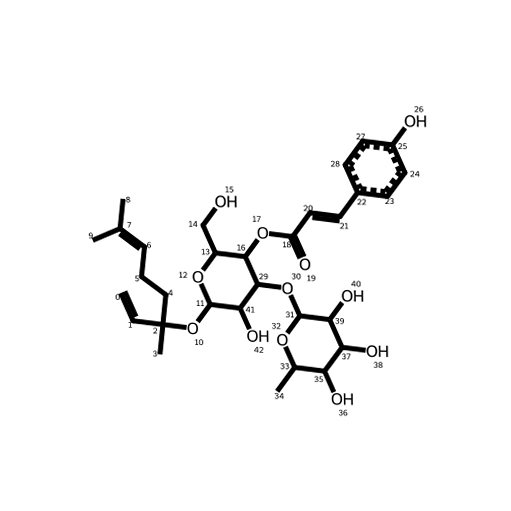 C=CC(C)(CCC=C(C)C)OC1OC(CO)C(OC(=O)C=Cc2ccc(O)cc2)C(OC2OC(C)C(O)C(O)C2O)C1O